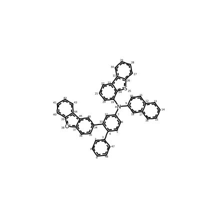 c1ccc(-c2ccc(N(c3ccc4ccccc4c3)c3cccc4c3sc3ccccc34)cc2-c2ccc3oc4ccccc4c3c2)cc1